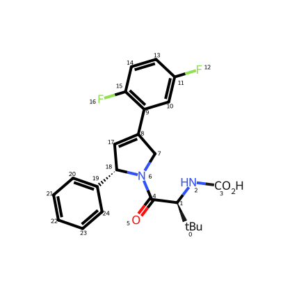 CC(C)(C)[C@H](NC(=O)O)C(=O)N1CC(c2cc(F)ccc2F)=C[C@H]1c1ccccc1